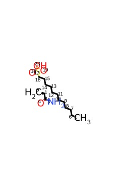 C=CC(N)=O.CCCCCCCCCCCCS(=O)(=O)O